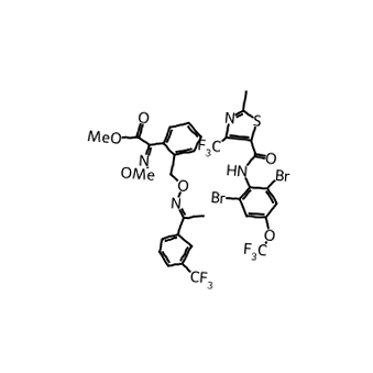 CO/N=C(/C(=O)OC)c1ccccc1CO/N=C(\C)c1cccc(C(F)(F)F)c1.Cc1nc(C(F)(F)F)c(C(=O)Nc2c(Br)cc(OC(F)(F)F)cc2Br)s1